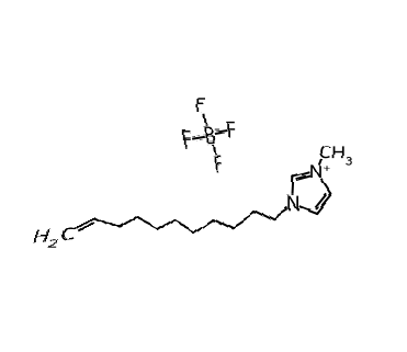 C=CCCCCCCCCCn1cc[n+](C)c1.F[B-](F)(F)F